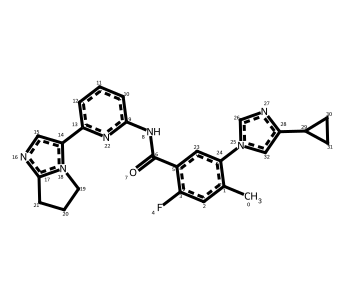 Cc1cc(F)c(C(=O)Nc2cccc(-c3cnc4n3CCC4)n2)cc1-n1cnc(C2CC2)c1